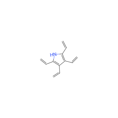 C=Cc1[nH]c(C=C)c(C=C)c1C=C